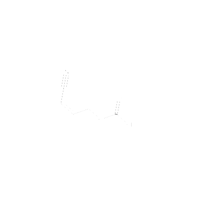 CC(=O)OC/C=C\C#N